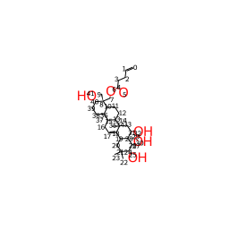 C=CCCC(=O)OC[C@]1(C)C2CC[C@]3(C)C(CC=C4C5CC(C)(C)[C@@H](O)[C@H](C)[C@]5(CO)[C@H](O)C[C@]43C)[C@@]2(C)CC[C@@H]1O